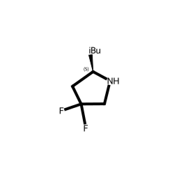 CCC(C)[C@@H]1CC(F)(F)CN1